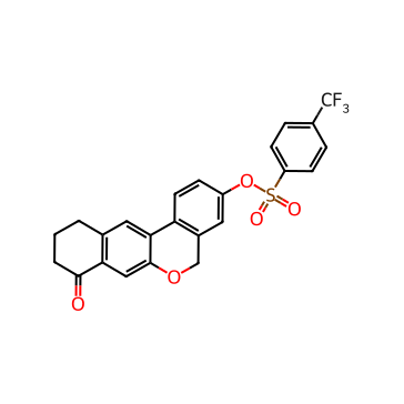 O=C1CCCc2cc3c(cc21)OCc1cc(OS(=O)(=O)c2ccc(C(F)(F)F)cc2)ccc1-3